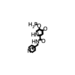 O=C(NCC12CCN(CC1)CC2)c1cc(=O)c(OP)c[nH]1